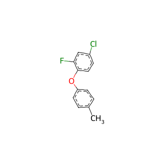 Cc1ccc(Oc2ccc(Cl)cc2F)cc1